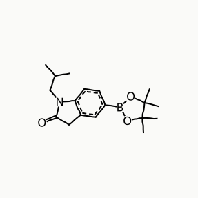 CC(C)CN1C(=O)Cc2cc(B3OC(C)(C)C(C)(C)O3)ccc21